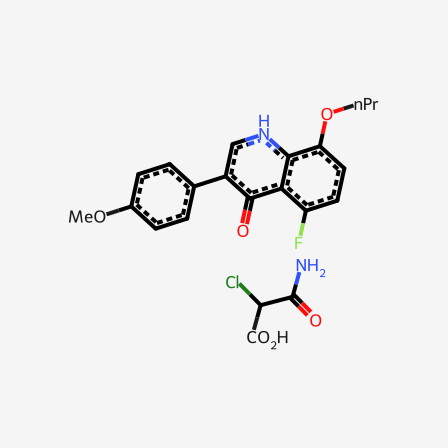 CCCOc1ccc(F)c2c(=O)c(-c3ccc(OC)cc3)c[nH]c12.NC(=O)C(Cl)C(=O)O